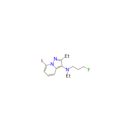 CCc1nn2c(I)cccc2c1N(CC)CCCF